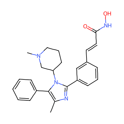 Cc1nc(-c2cccc(C=CC(=O)NO)c2)n(C2CCCN(C)C2)c1-c1ccccc1